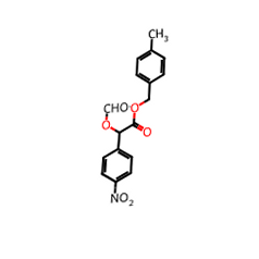 Cc1ccc(COC(=O)C(O[C]=O)c2ccc([N+](=O)[O-])cc2)cc1